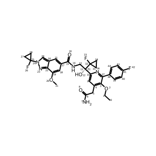 CCOc1c(CC(N)=O)cc([C@@](O)(CNC(=O)c2cc(OC)c3nn(C4(F)CC4)cc3c2)C2(F)CC2)nc1-c1ccc(F)cc1